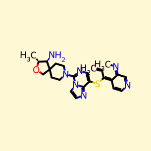 C=C/C(Sc1cnc(N2CCC3(CC2)CO[C@@H](C)[C@H]3N)n2ccnc12)=C1/C=CN=C/C1=N/C